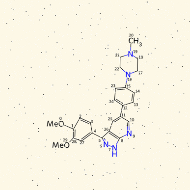 COc1ccc(-c2n[nH]c3ncc(-c4ccc(N5CCN(C)CC5)cc4)cc23)cc1OC